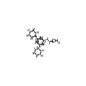 C=CCc1nc(-c2ccccc2)nc(-c2ccccc2)n1